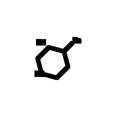 [HH].[Na][CH]1CCNCC1